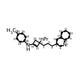 CCCC1(CCCc2cnc3ccccc3c2)C=C(Nc2ccc(C)cc2)C1